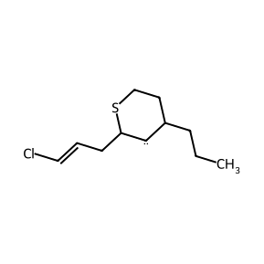 CCCC1[C]C(CC=CCl)SCC1